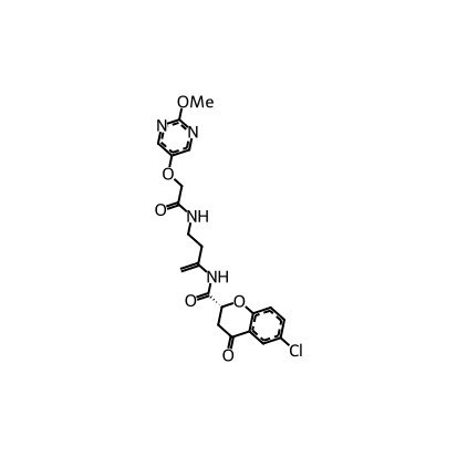 C=C(CCNC(=O)COc1cnc(OC)nc1)NC(=O)[C@H]1CC(=O)c2cc(Cl)ccc2O1